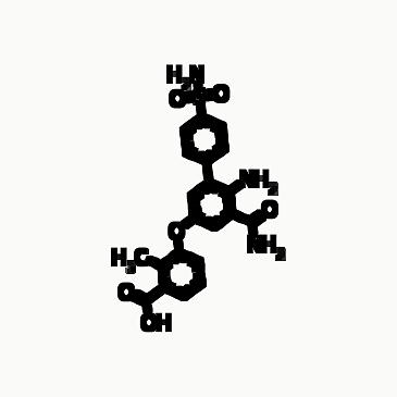 Cc1c(Oc2cc(C(N)=O)c(N)c(-c3ccc(S(N)(=O)=O)cc3)c2)cccc1C(=O)O